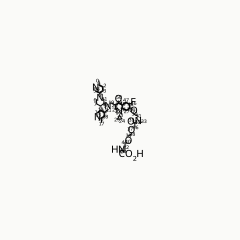 Cc1ccc(N2CCC[C@H](N(Cc3ccnc(C)c3)Cc3cn(C4CC4)c4cc(OCCN(C)C(=O)COCCOCCNC(=O)O)c(F)cc4c3=O)C2)cn1